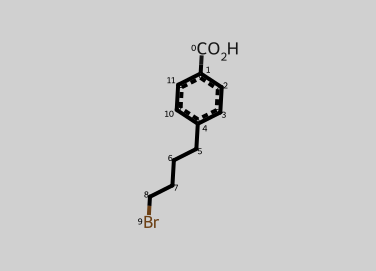 O=C(O)c1ccc(CCCCBr)cc1